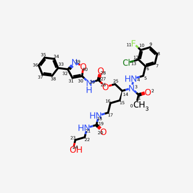 CC(=O)N(NCc1cccc(F)c1Cl)[C@@H](CCCNC(=O)NCCO)COC(=O)Nc1cc(-c2ccccc2)no1